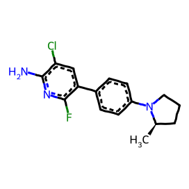 C[C@@H]1CCCN1c1ccc(-c2cc(Cl)c(N)nc2F)cc1